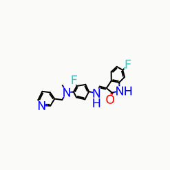 CN(Cc1cccnc1)c1ccc(N/C=C2\C(=O)Nc3cc(F)ccc32)cc1F